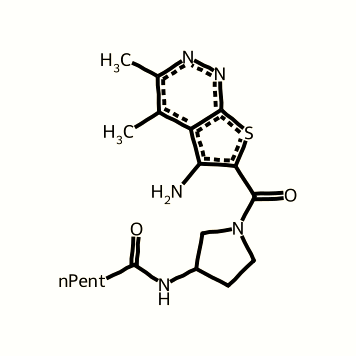 CCCCCC(=O)NC1CCN(C(=O)c2sc3nnc(C)c(C)c3c2N)C1